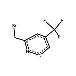 FC(F)(F)c1cnnc(CBr)c1